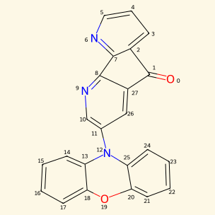 O=C1c2cccnc2-c2ncc(N3c4ccccc4Oc4ccccc43)cc21